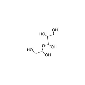 OCC(O)OC(O)C(O)CO